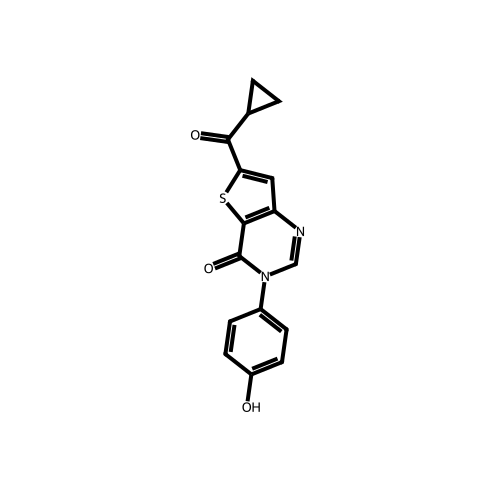 O=C(c1cc2ncn(-c3ccc(O)cc3)c(=O)c2s1)C1CC1